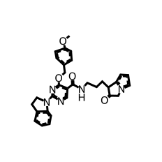 COc1ccc(COc2nc(N3CCc4ccccc43)ncc2C(=O)NCCCC2C(=O)Cn3cccc32)cc1